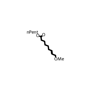 CCCCCOC(=O)CCCCC/C=C/COC